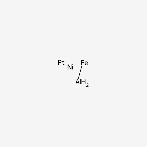 [AlH2][Fe].[Ni].[Pt]